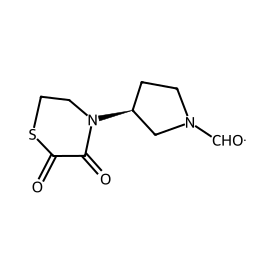 O=[C]N1CC[C@H](N2CCSC(=O)C2=O)C1